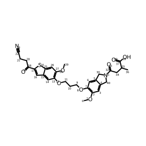 COc1cc2c(cc1OCCCOc1cc3cc(C(=O)CCC#N)sc3cc1OC)CN(C(=O)CC(C)C(=O)O)C2